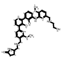 COc1ccc(CNCCO)nc1Nc1cccc(-c2nccc(-c3ccc(CNCC4CCC(=O)N4)c(OC)n3)c2Cl)c1Cl